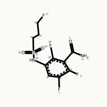 NC(=O)c1c(F)c(F)cc(NS(=O)(=O)CCCF)c1F